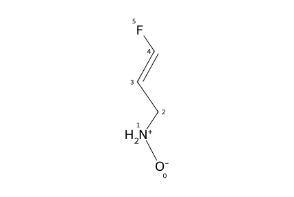 [O-][NH2+]CC=CF